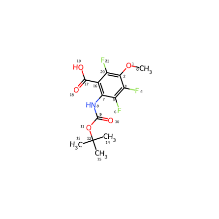 COc1c(F)c(F)c(NC(=O)OC(C)(C)C)c(C(=O)O)c1F